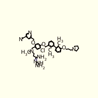 Cc1c(COc2cc(OCc3cncc(C#N)c3)c(CN(C)CC/C(N)=N/NN)cc2Cl)cccc1-c1cccc(OCCCN2CCCC2)c1C